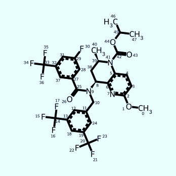 COc1ccc2c(n1)[C@@H](N(Cc1cc(C(F)(F)F)cc(C(F)(F)F)c1)C(=O)c1cc(F)cc(C(F)(F)F)c1)C[C@@H](C)N2C(=O)OC(C)C